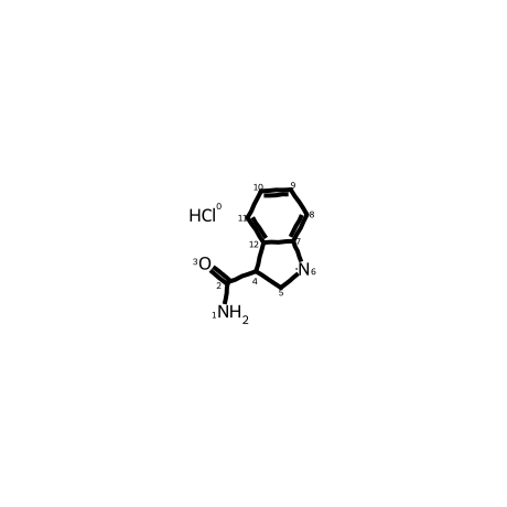 Cl.NC(=O)C1C[N]c2ccccc21